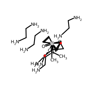 C[CH](C)[Ti]123456(=[O])([CH2]CN)([CH2]CN)([O]CCN)([CH2]C[O]1)([CH2][CH2]2)([CH2][CH2]3)([CH2][CH2]4)([CH2][CH2]5)[CH2][CH2]6.NCCN.NCCN.NCCN